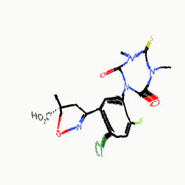 Cn1c(=S)n(C)c(=O)n(-c2cc(C3=NO[C@](C)(C(=O)O)C3)c(Cl)cc2F)c1=O